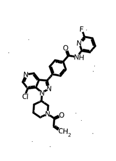 C=CC(=O)N1CCCC(n2nc(-c3ccc(C(=O)Nc4cccc(F)n4)cc3)c3cncc(Cl)c32)C1